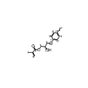 C=C(C)C(=O)OCC(O)COc1ccc(I)cc1